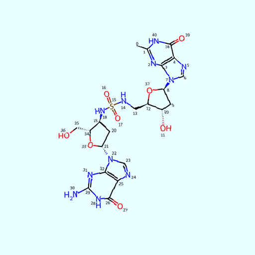 Cc1nc2c(ncn2[C@H]2C[C@H](O)[C@@H](CNS(=O)(=O)N[C@H]3C[C@H](n4cnc5c(=O)[nH]c(N)nc54)O[C@@H]3CO)O2)c(=O)[nH]1